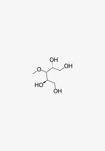 COC([C@H](O)CO)[C@H](O)CO